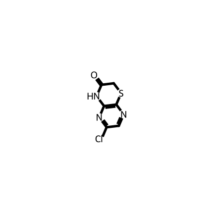 O=C1CSc2ncc(Cl)nc2N1